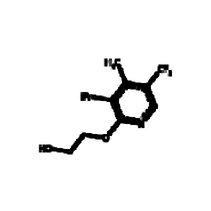 Cc1c(C(F)(F)F)cnc(OCCO)c1C(C)C